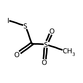 CS(=O)(=O)C(=O)SI